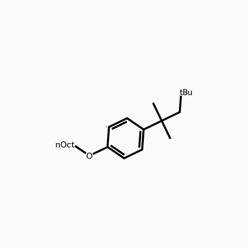 CCCCCCCCOc1[c]cc(C(C)(C)CC(C)(C)C)cc1